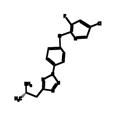 C[C@H](N)Cc1nnn(-c2ccc(Oc3ncc(Cl)cc3F)cc2)n1